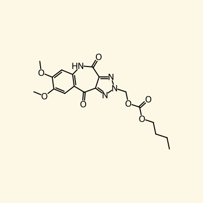 CCCCOC(=O)OCn1nc2c(=O)[nH]c3cc(OC)c(OC)cc3c(=O)c2n1